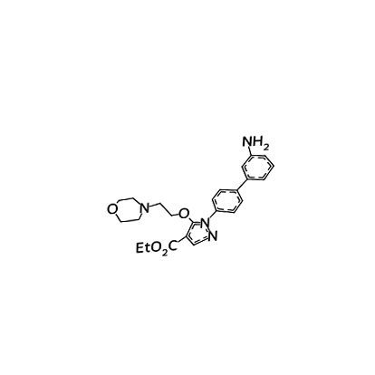 CCOC(=O)c1cnn(-c2ccc(-c3cccc(N)c3)cc2)c1OCCN1CCOCC1